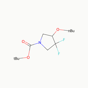 CCCCOC1CN(C(=O)OC(C)(C)C)CC1(F)F